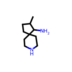 CC1CCC2(CCNCC2)C1N